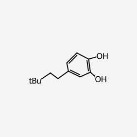 CC(C)(C)CCc1ccc(O)c(O)c1